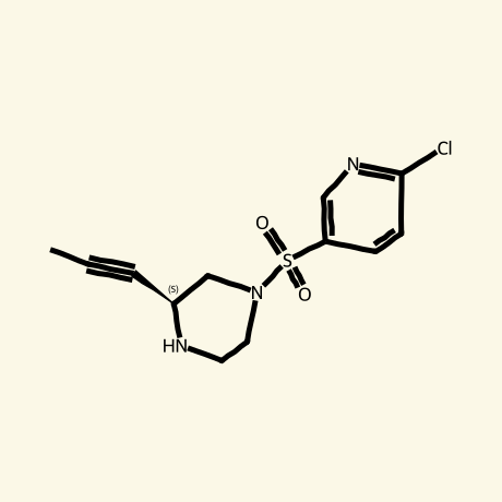 CC#C[C@H]1CN(S(=O)(=O)c2ccc(Cl)nc2)CCN1